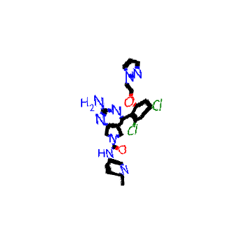 Cc1ccc(NC(=O)N2Cc3nc(N)nc(-c4c(Cl)cc(Cl)cc4OCCn4cccn4)c3C2)cn1